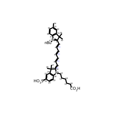 CCCC[N+]1=C(/C=C/C=C/C=C/C=C2/N(CCCCCC(=O)O)c3ccc(S(=O)(=O)O)cc3C2(C)C)C(C)(C)c2cc(C)ccc21